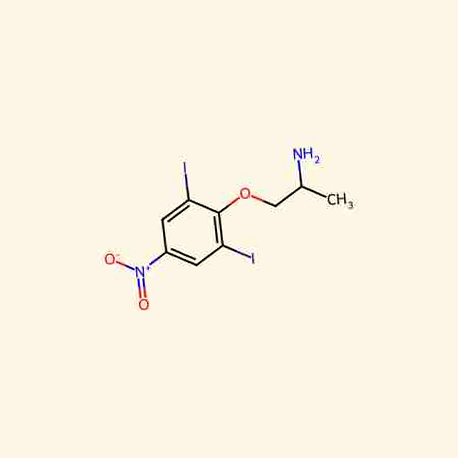 CC(N)COc1c(I)cc([N+](=O)[O-])cc1I